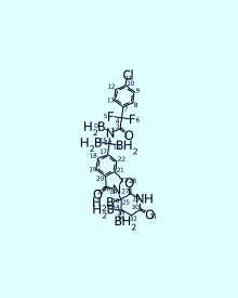 BN(C(=O)C(F)(F)c1ccc(Cl)cc1)C(B)(B)c1ccc2c(c1)CN(C1(B)C(=O)NC(=O)CC1(B)B)C2=O